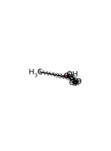 CCCCCCCCCCCCCCCCCCC1(C(=O)O)CCC(CN2C(=O)C=CC2=O)CC1